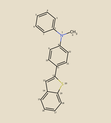 CN(c1ccccc1)c1ccc(-c2cc3ccccc3s2)cc1